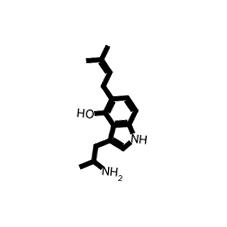 CC(C)=CCc1ccc2[nH]cc(CC(C)N)c2c1O